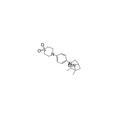 CCN1C2CN(c3ccc(N4CCS(=O)(=O)CC4)cc3)C(C)C1(C)C2